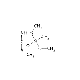 CO[Si](C)(OC)OC.N=C=S